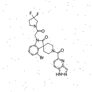 O=C(CN1C(=O)C2(CCN(C(=O)c3ccc4[nH]ncc4n3)CC2)c2c(Br)cccc21)N1CCC(F)(F)C1